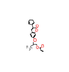 C=CC(=O)OCC(COc1ccc2cc(-c3ccccc3)c(=O)oc2c1)C(F)(F)F